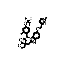 CCC(CC)(Cc1nc2ccc(OCc3ccn(C)n3)cc2n1Cc1ccc(OC(F)(F)F)cc1C)C(=O)O